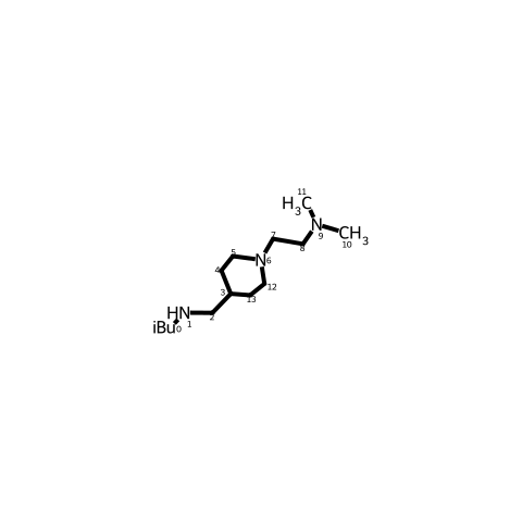 CCC(C)NCC1CCN(CCN(C)C)CC1